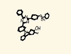 OB(Oc1ccc(-c2nc(-c3ccccc3)nc(-c3cccc(-n4c5ccccc5c5cc(I)c(O)cc54)c3)n2)cc1)c1ccccc1